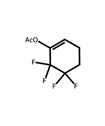 CC(=O)OC1=CCCC(F)(F)C1(F)F